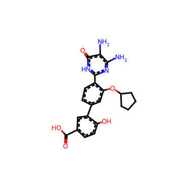 Nc1nc(-c2ccc(-c3cc(C(=O)O)ccc3O)cc2OC2CCCC2)[nH]c(=O)c1N